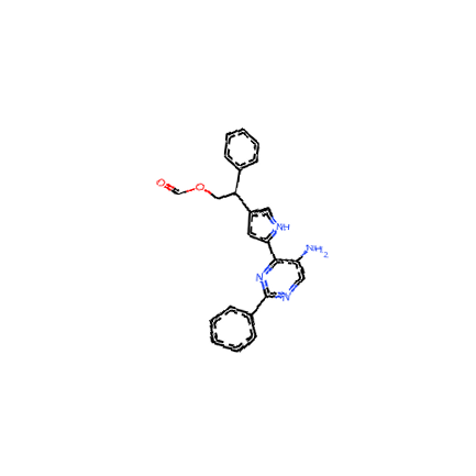 Nc1cnc(-c2ccccc2)nc1-c1cc(C(COC=O)c2ccccc2)c[nH]1